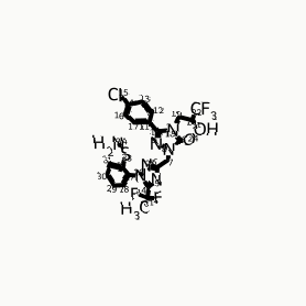 CC(F)(F)c1nc(Cn2nc(-c3ccc(Cl)cc3)n(CC(O)C(F)(F)F)c2=O)nn1-c1ccccc1SN